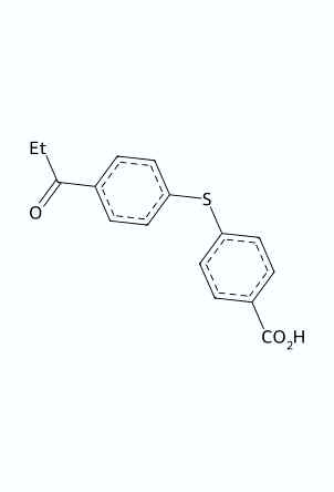 CCC(=O)c1ccc(Sc2ccc(C(=O)O)cc2)cc1